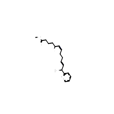 COC(=O)CCCC(O)/C=C\CC/C=C/C(O)c1ccccn1